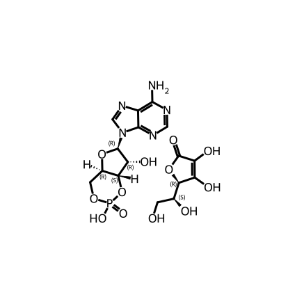 Nc1ncnc2c1ncn2[C@@H]1O[C@@H]2COP(=O)(O)O[C@H]2[C@H]1O.O=C1O[C@H]([C@@H](O)CO)C(O)=C1O